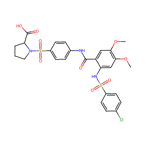 COc1cc(NS(=O)(=O)c2ccc(Cl)cc2)c(C(=O)Nc2ccc(S(=O)(=O)N3CCCC3C(=O)O)cc2)cc1OC